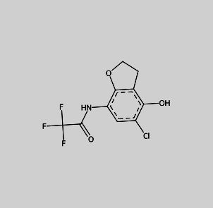 O=C(Nc1cc(Cl)c(O)c2c1OCC2)C(F)(F)F